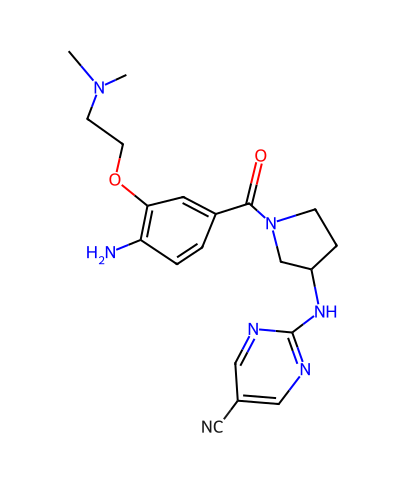 CN(C)CCOc1cc(C(=O)N2CCC(Nc3ncc(C#N)cn3)C2)ccc1N